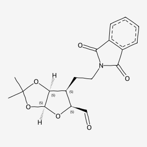 CC1(C)O[C@@H]2O[C@H](C=O)[C@H](CCN3C(=O)c4ccccc4C3=O)[C@@H]2O1